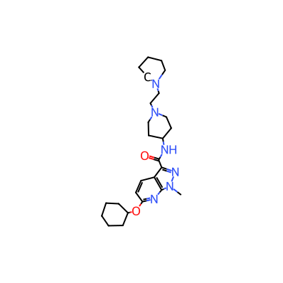 Cn1nc(C(=O)NC2CCN(CCN3CCCCC3)CC2)c2ccc(OC3CCCCC3)nc21